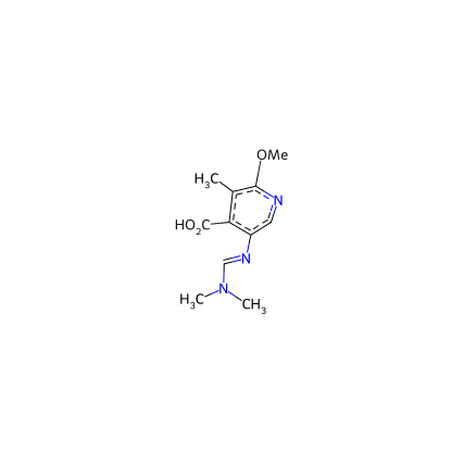 COc1ncc(N=CN(C)C)c(C(=O)O)c1C